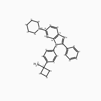 NC1(c2ccc(-n3c(-c4ccccc4)nc4ccc(N5CCCCC5)nc43)cc2)CCC1